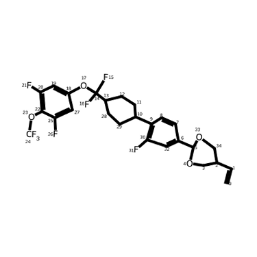 C=CC1COC(c2ccc(C3CCC(C(F)(F)Oc4cc(F)c(OC(F)(F)F)c(F)c4)CC3)c(F)c2)OC1